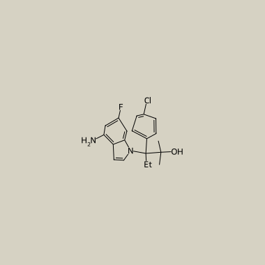 CCC(c1ccc(Cl)cc1)(n1ccc2c(N)cc(F)cc21)C(C)(C)O